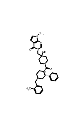 Cc1ccccc1CN1CC[C@@H](C(=O)N2CCC(O)(Cn3cnc4c(ccn4C)c3=O)CC2)[C@H](c2ccccc2)C1